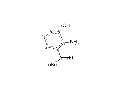 CCCCC(CC)c1cccc(O)c1N